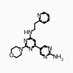 Nc1ncc(-c2cc(NCCc3ccccn3)nc(N3CCOCC3)n2)cn1